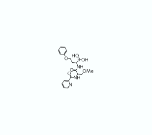 COCC(NC(=O)c1ccccn1)C(=O)N[C@@H](CCOc1ccccc1)B(O)O